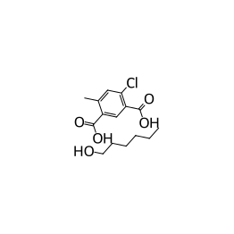 CCCCCCO.Cc1cc(Cl)c(C(=O)O)cc1C(=O)O